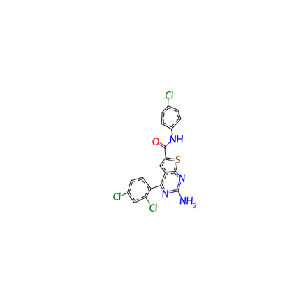 Nc1nc(-c2ccc(Cl)cc2Cl)c2cc(C(=O)Nc3ccc(Cl)cc3)sc2n1